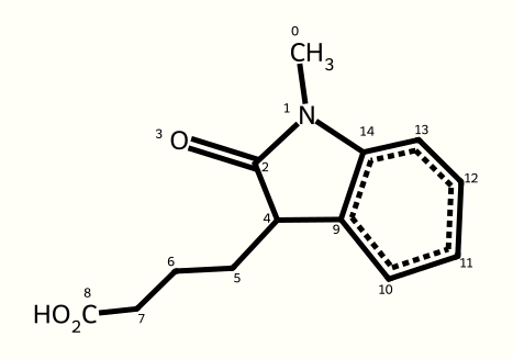 CN1C(=O)C(CCCC(=O)O)c2ccccc21